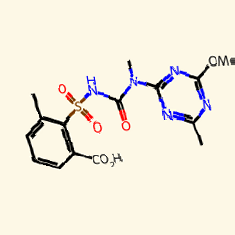 COc1nc(C)nc(N(C)C(=O)NS(=O)(=O)c2c(C)cccc2C(=O)O)n1